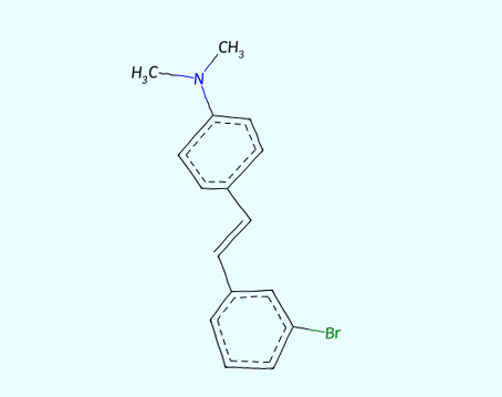 CN(C)c1ccc(/C=C/c2cccc(Br)c2)cc1